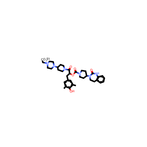 CCOC(=O)CN1CCN(C2CCN(C(=O)C(Cc3cc(C)c(O)c(C)c3)OC(=O)N3CCC(N4CCc5ccccc5NC4=O)CC3)CC2)CC1